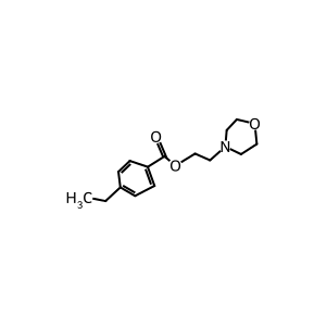 CCc1ccc(C(=O)OCCN2CCOCC2)cc1